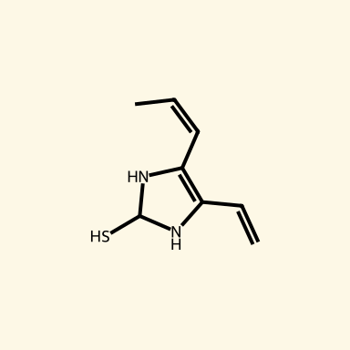 C=CC1=C(/C=C\C)NC(S)N1